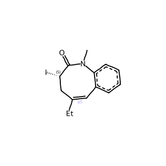 CC/C1=C/c2ccccc2N(C)C(=O)[C@@H](I)C1